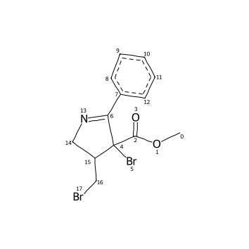 COC(=O)C1(Br)C(c2ccccc2)=NCC1CBr